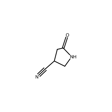 N#CC1CNC(=O)C1